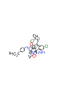 C=C(Cl)/C=C\C=C(/F)[C@H]1[C@@H]2C(=O)N(Cc3ccc(C(=O)O)cc3)C[C@@H]2N(CC2CC2)[C@@]12C(=O)Nc1cc(Cl)ccc12